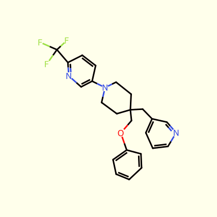 FC(F)(F)c1ccc(N2CCC(COc3ccccc3)(Cc3cccnc3)CC2)cn1